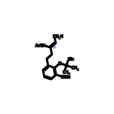 COc1cccc(CC/C(=C/C(=O)O)NC(C)=O)c1O[Si](C)(C)C(C)(C)C